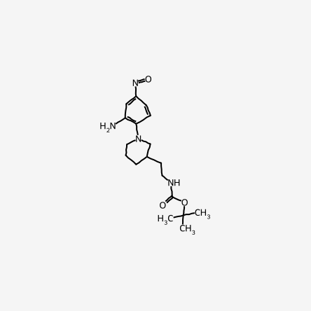 CC(C)(C)OC(=O)NCCC1CCCN(c2ccc(N=O)cc2N)C1